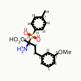 COc1cccc(CCC(N)(C(=O)O)S(=O)(=O)c2ccc(C)cc2)c1